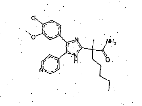 CCCCCC(C)(C(N)=O)c1nc(-c2ccc(Cl)c(OC)c2)c(-c2ccncc2)[nH]1